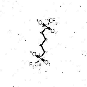 O=S(=O)(CCCCS(=O)(=O)C(F)(F)F)C(F)(F)F